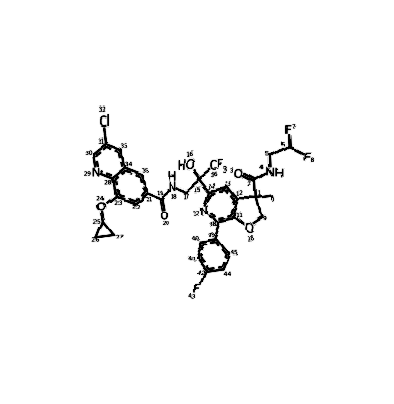 CC1(C(=O)NCC(F)F)COc2c1cc(C(O)(CNC(=O)c1cc(OC3CC3)c3ncc(Cl)cc3c1)C(F)(F)F)nc2-c1ccc(F)cc1